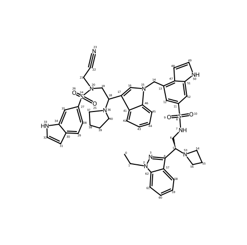 CCn1nc([C@@H](CNS(=O)(=O)c2cc(Cn3cc(C(CN(CC#N)S(=O)(=O)c4ccc5cc[nH]c5c4)N4CCCC4)c4ccccc43)c3cc[nH]c3c2)N2CCC2)c2ccccc21